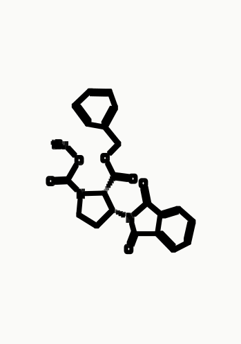 CC(C)(C)OC(=O)N1CC[C@@H](N2C(=O)c3ccccc3C2=O)[C@H]1C(=O)OCc1ccccc1